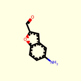 Nc1ccc2oc(C=O)cc2c1